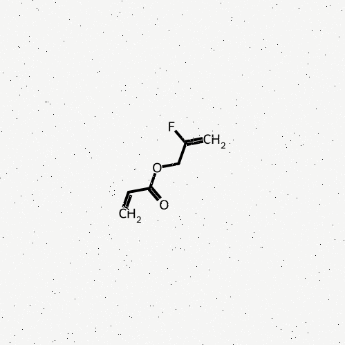 C=CC(=O)OCC(=C)F